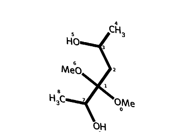 COC(CC(C)O)(OC)C(C)O